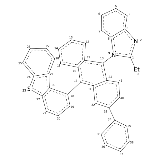 CCc1nc2ccccc2n1-c1c2ccccc2c(-c2cccc3sc4ccccc4c23)c2cc(-c3ccccc3)ccc12